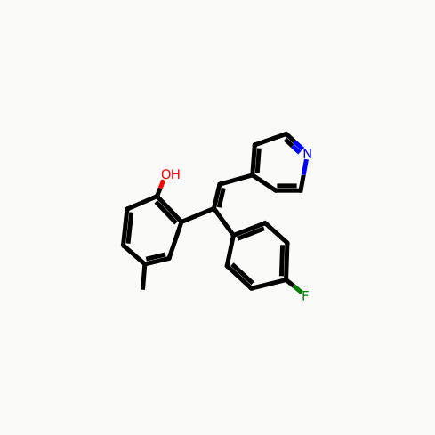 Cc1ccc(O)c(/C(=C/c2ccncc2)c2ccc(F)cc2)c1